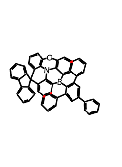 c1ccc(-c2cc(-c3ccccc3)c(B3c4cccc5c4N4c6c(cccc6C6(c7ccccc7-c7ccccc76)c6cccc3c64)O5)c(-c3ccccc3)c2)cc1